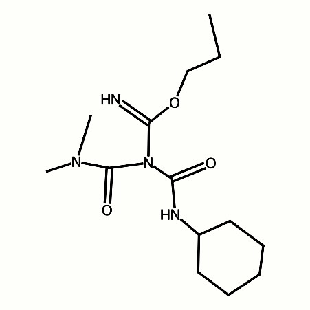 CCCOC(=N)N(C(=O)NC1CCCCC1)C(=O)N(C)C